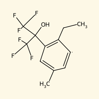 CCc1[c]cc(C)cc1C(O)(C(F)(F)F)C(F)(F)F